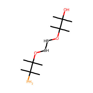 CC(C)(O)C(C)(C)OBBOC(C)(C)C(C)(C)P